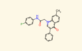 Cc1ccc2c(=O)c(-c3ccccc3)cn(CC(=O)Nc3ccc(F)cc3)c2c1